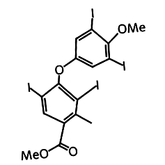 COC(=O)c1cc(I)c(Oc2cc(I)c(OC)c(I)c2)c(I)c1C